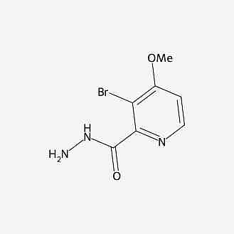 COc1ccnc(C(=O)NN)c1Br